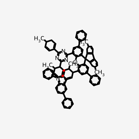 CC1C=CC(c2nc(-c3cc(-c4ccccc4)cc4c3Oc3c(C5C=c6c(n(-c7ccccc7)c7ccc(-c8ccccc8)cc67)=CC5C)cc(-c5ccccc5)cc3C43C4=C(C=CC(C)C4)C4=C3CC(C)C=C4)nc(C3C=CC=CC3C)n2)=CC1